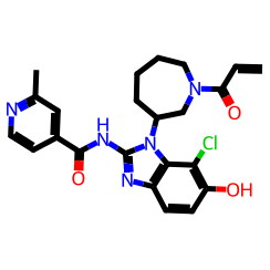 C=CC(=O)N1CCCCC(n2c(NC(=O)c3ccnc(C)c3)nc3ccc(O)c(Cl)c32)C1